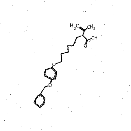 C=C(C)C(CCCCCCOc1ccc(OCc2ccccc2)cc1)C(=O)O